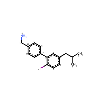 CC(C)Cc1ccc(I)c(-c2ccc(CN)cc2)c1